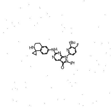 CC(C)n1c(=O)c2cnc(Nc3ccc4c(c3)CCNC43CC3)nc2n1-c1ccc(F)c(C(C)(C)C)n1